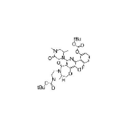 CC1CN(C)C(=O)CN1c1nc(-c2c(F)cccc2OC(=O)OC(C)(C)C)c(Cl)c2c1C(=O)N1CCN(C(=O)OC(C)(C)C)C[C@@H]1CO2